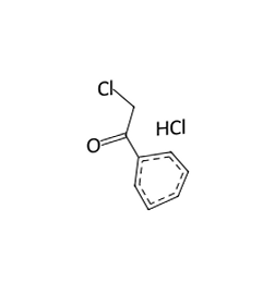 Cl.O=C(CCl)c1ccccc1